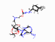 CN(CCOC(=O)NCc1ccc(C(C)(C)C)cc1)C[C@H]1OC[C@]2(n3cnc4c(N)ncnc43)OC(C)(C)O[C@H]12